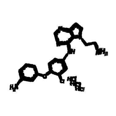 Cl.Cl.Cl.NCCn1ccc2ncnc(Nc3ccc(Oc4cccc(N)c4)c(Cl)c3)c21